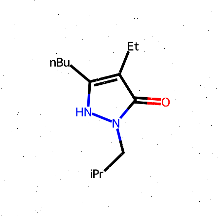 CCCCc1[nH]n(CC(C)C)c(=O)c1CC